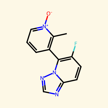 Cc1c(-c2c(F)ccc3ncnn23)ccc[n+]1[O-]